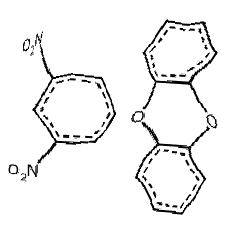 O=[N+]([O-])c1cccc([N+](=O)[O-])c1.c1ccc2c(c1)Oc1ccccc1O2